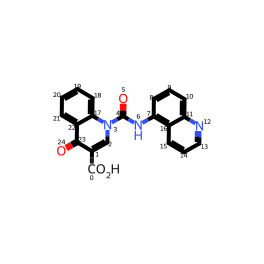 O=C(O)c1cn(C(=O)Nc2cccc3ncccc23)c2ccccc2c1=O